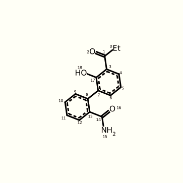 CCC(=O)c1cccc(-c2ccccc2C(N)=O)c1O